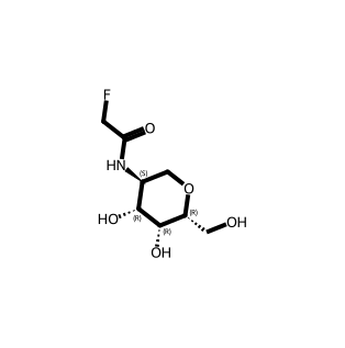 O=C(CF)N[C@H]1CO[C@H](CO)[C@H](O)[C@@H]1O